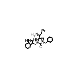 CC(C)C[C@H](N)C(=O)N[C@@H](Cc1c[nH]c2ccccc12)C(=O)NCc1ccccc1